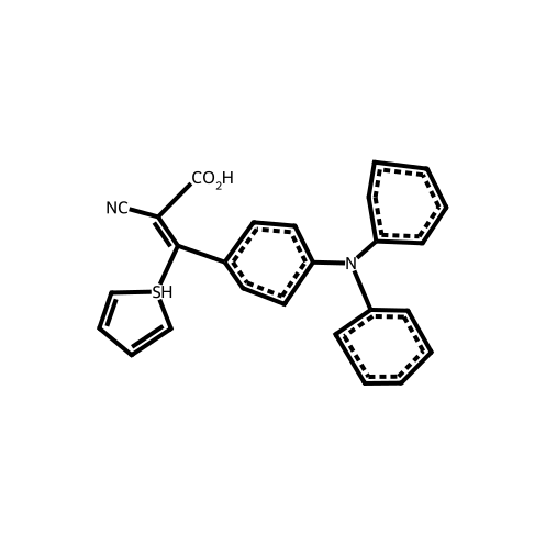 N#CC(C(=O)O)=C(c1ccc(N(c2ccccc2)c2ccccc2)cc1)[SH]1C=CC=C1